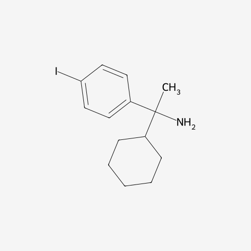 CC(N)(c1ccc(I)cc1)C1CCCCC1